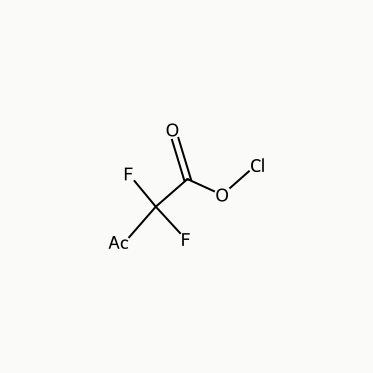 CC(=O)C(F)(F)C(=O)OCl